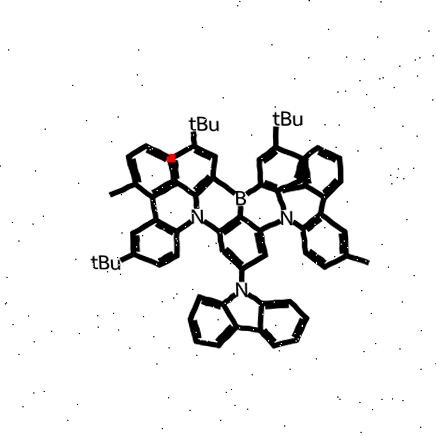 Cc1ccc(N2c3ccc(C(C)(C)C)cc3B3c4cc(C(C)(C)C)ccc4N(c4ccc(C(C)(C)C)cc4-c4ccccc4C)c4cc(-n5c6ccccc6c6ccccc65)cc2c43)c(-c2ccccc2C)c1